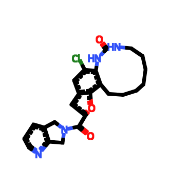 O=C1NCCCCCCCc2c(c(Cl)cc3cc(C(=O)N4Cc5cccnc5C4)oc23)N1